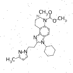 COC(=O)N1c2ccc3c(nc(CCn4ccc(C)n4)n3C3CCCCC3)c2CC[C@@H]1C